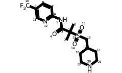 CC(C)(C(=O)Nc1ccc(C(F)(F)F)cn1)S(=O)(=O)CC1CCNCC1